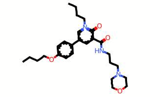 CCCCOc1ccc(-c2cc(C(=O)NCCCN3CCOCC3)c(=O)n(CCCC)c2)cc1